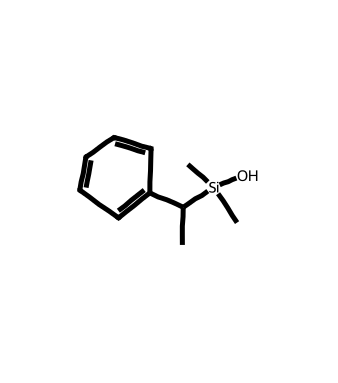 CC(c1ccccc1)[Si](C)(C)O